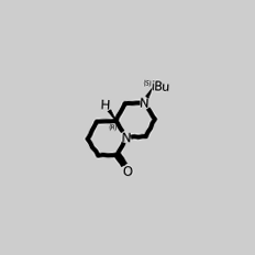 CC[C@H](C)N1CCN2C(=O)CCC[C@@H]2C1